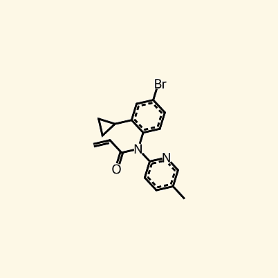 C=CC(=O)N(c1ccc(C)cn1)c1ccc(Br)cc1C1CC1